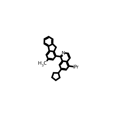 Cc1cc2c(c(-c3nccc4c(C(C)C)cc(C5CCCC5)cc34)c1)Cc1ccccc1-2